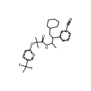 CC(NC(=O)C(C)(C)Oc1ccc(C(F)(F)F)cn1)C(CC1CCCCC1)c1cccc(C#N)c1